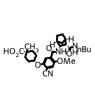 CCCCNC(=O)[C@H]1[C@@H]2CC[C@@H](C2)[C@H]1NC(=O)c1cc(O[C@H]2CC[C@@](C)(C(=O)O)CC2)c(C#N)cc1OC